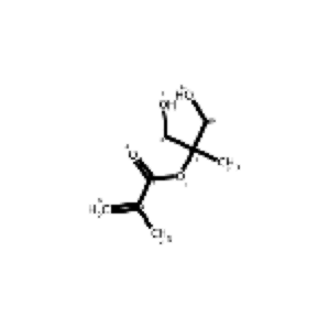 C=C(C)C(=O)OC(C)(CO)CO